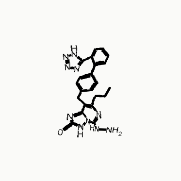 CCCc1nc(NN)n2[nH]c(=O)nc2c1Cc1ccc(-c2ccccc2-c2nnn[nH]2)cc1